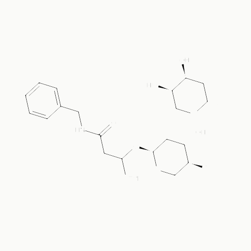 CCCCCCCC(CC(=O)NCc1ccccc1)O[C@@H]1O[C@@H](C)[C@H](O)[C@@H](O)[C@H]1O[C@H]1O[C@@H](C)[C@@H](O)[C@H](O)[C@@H]1O